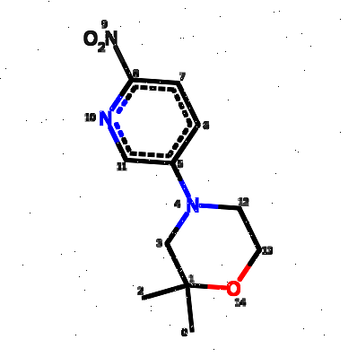 CC1(C)CN(c2ccc([N+](=O)[O-])nc2)CCO1